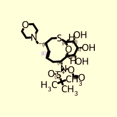 CC(C)(C)[S@@+]([O-])N(OC=O)[C@@H]1C/C=C/[C@H](CN2CCOCC2)CS[C@H]2O[C@H]1[C@H](O)[C@H](O)[C@H]2O